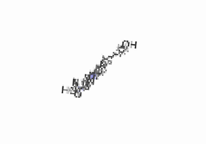 CCN(CC(C)CCCCCc1ccc(O)cc1)c1ccc(/N=N/c2nc3sc(/C=C(\C#N)C(=O)O)cc3s2)cc1